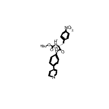 CC(C)(C)OC(=O)N[C@H](Cc1ccc([N+](=O)[O-])cc1)C(=O)Nc1ccc(-c2ccncc2)cc1